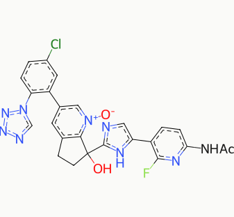 CC(=O)Nc1ccc(-c2cnc(C3(O)CCc4cc(-c5cc(Cl)ccc5-n5cnnn5)c[n+]([O-])c43)[nH]2)c(F)n1